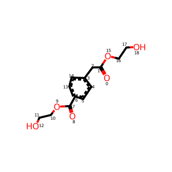 O=C(Cc1ccc(C(=O)OCCO)cc1)OCCO